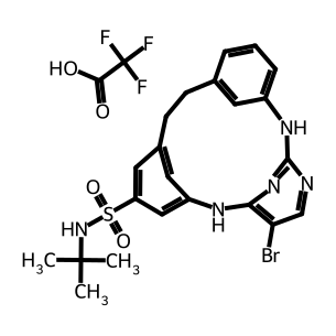 CC(C)(C)NS(=O)(=O)c1cc2cc(c1)Nc1nc(ncc1Br)Nc1cccc(c1)CC2.O=C(O)C(F)(F)F